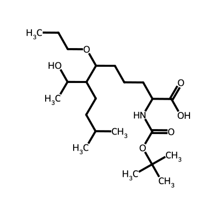 CCCOC(CCCC(NC(=O)OC(C)(C)C)C(=O)O)C(CCC(C)C)C(C)O